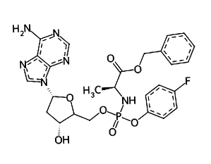 C[C@H](NP(=O)(OCC1O[C@@H](n2cnc3c(N)ncnc32)C[C@H]1O)Oc1ccc(F)cc1)C(=O)OCc1ccccc1